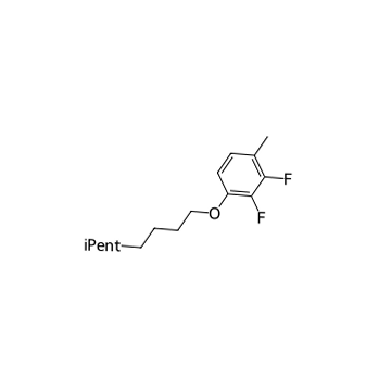 CCCC(C)CCCCOc1ccc(C)c(F)c1F